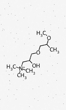 COC(C)COCC(O)C[N+](C)(C)C